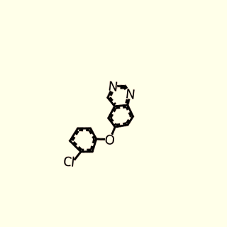 Clc1cccc(Oc2ccc3ncncc3c2)c1